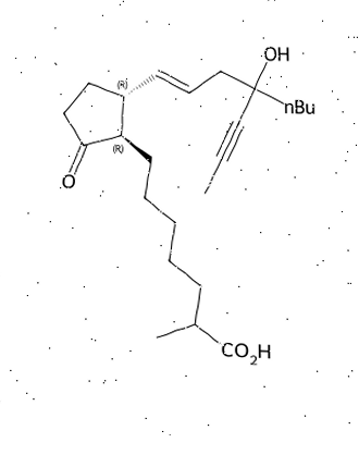 CC#CC(O)(CC=C[C@H]1CCC(=O)[C@@H]1CCCCCC(C)C(=O)O)CCCC